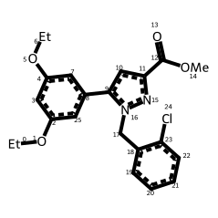 CCOc1cc(OCC)cc(-c2cc(C(=O)OC)nn2Cc2ccccc2Cl)c1